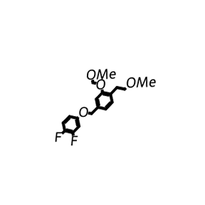 COCCc1ccc(COc2ccc(F)c(F)c2)cc1OCOC